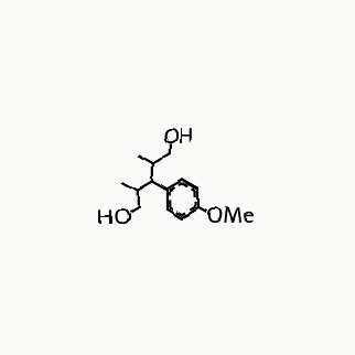 COc1ccc(C(C(C)CO)C(C)CO)cc1